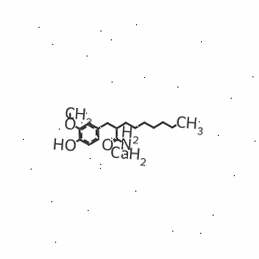 CCCCCCCC(Cc1ccc(O)c(OC)c1)C(N)=O.[CaH2]